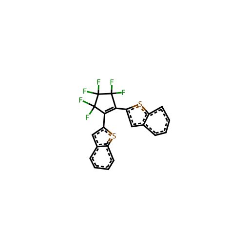 FC1(F)C(c2cc3ccccc3s2)=C(c2cc3ccccc3s2)C(F)(F)C1(F)F